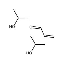 C=CC=O.CC(C)O.CC(C)O